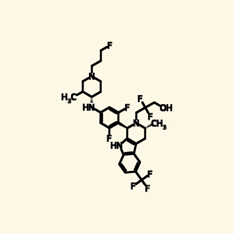 CC1CN(CCCF)CC[C@@H]1Nc1cc(F)c([C@@H]2c3[nH]c4ccc(C(F)(F)F)cc4c3C[C@@H](C)N2CC(F)(F)CO)c(F)c1